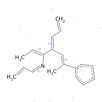 C=C\C=N/C(=C\C)C(=C/C=C)/C=C(\C)c1ccccc1